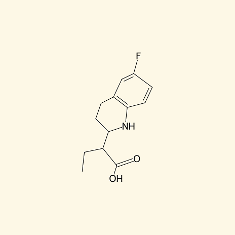 CCC(C(=O)O)C1CCc2cc(F)ccc2N1